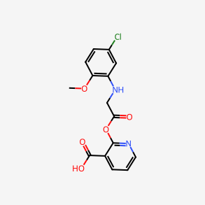 COc1ccc(Cl)cc1NCC(=O)Oc1ncccc1C(=O)O